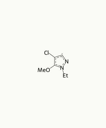 CCn1n[c]c(Cl)c1OC